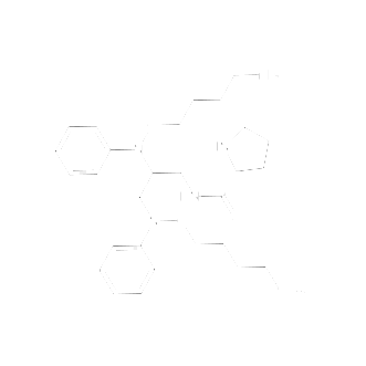 CCCCCCCCCCCCCCON(CC(CNC(=O)[C@H]1CCCN1)N(OCCCCCCCCCCCCCC)c1ccccc1)c1ccccc1